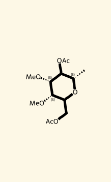 CO[C@@H]1C(OC(C)=O)[C@H](C)OC(COC(C)=O)[C@@H]1OC